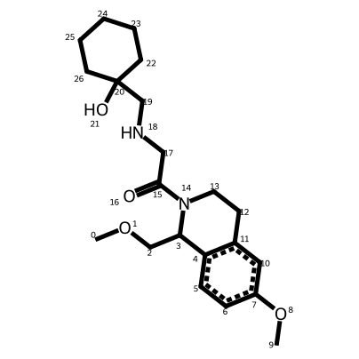 COCC1c2ccc(OC)cc2CCN1C(=O)CNCC1(O)CCCCC1